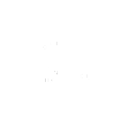 [CH2]CCCN(C)c1cccc(OC)c1